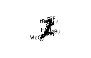 COC(=O)c1ccc(-n2cc(NC(=O)c3coc(-c4ccnc(N(CC(F)(F)F)C(=O)OC(C)(C)C)c4)n3)c(CNC(=O)OC(C)(C)C)n2)cc1